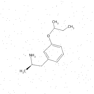 CCC(C)Oc1cccc(C[C@@H](C)N)c1